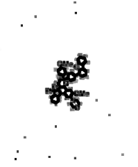 CCC1(CC)c2ccccc2-c2c1c1c(c3cc(OC)c(N4CCOCC4)cc23)OC(c2ccc(OC)cc2)(c2ccc(-c3cccc4c3oc3ccccc34)cc2)C=C1